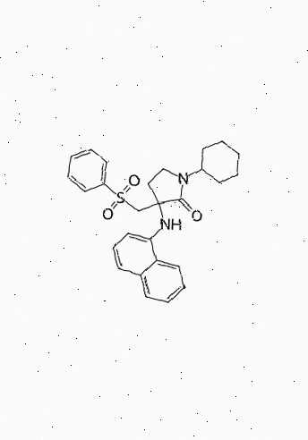 O=C1N(C2CCCCC2)CCC1(CS(=O)(=O)c1ccccc1)Nc1cccc2ccccc12